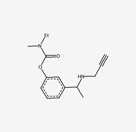 C#CCNC(C)c1cccc(OC(=O)N(C)CC)c1